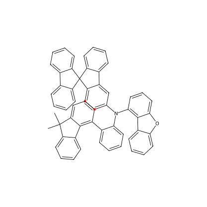 CC1(C)c2ccccc2-c2c(-c3ccccc3N(c3ccc4c(c3)-c3ccccc3C43c4ccccc4-c4ccccc43)c3cccc4oc5ccccc5c34)cccc21